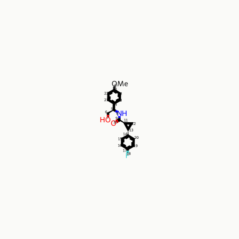 COc1ccc([C@H](CO)NC(=O)[C@H]2C[C@@H]2c2ccc(F)cc2)cc1